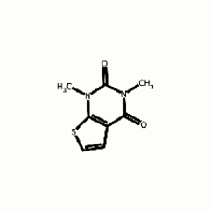 Cn1c(=O)c2ccsc2n(C)c1=O